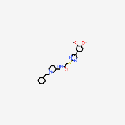 COc1ccc(-c2cnc(SCC(=O)NCC3CCCN(CCC4CCCCC4)C3)nc2)cc1OC